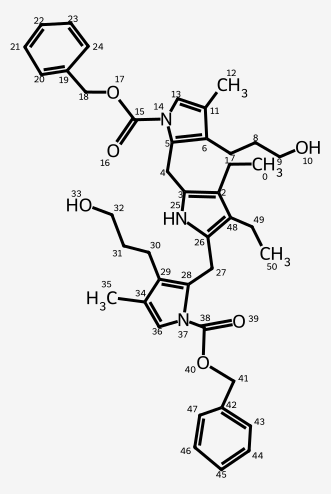 CCc1c(Cc2c(CCCO)c(C)cn2C(=O)OCc2ccccc2)[nH]c(Cc2c(CCCO)c(C)cn2C(=O)OCc2ccccc2)c1CC